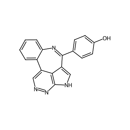 Oc1ccc(C2=Nc3ccccc3-c3cnnc4[nH]cc2c34)cc1